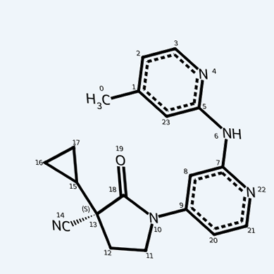 Cc1ccnc(Nc2cc(N3CC[C@@](C#N)(C4CC4)C3=O)ccn2)c1